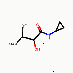 CCC[C@H](NC)[C@H](O)C(=O)NC1CC1